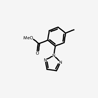 COC(=O)c1ccc(C)cc1-n1nccn1